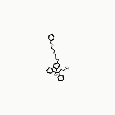 OCCC(c1ccccc1)C(O)(c1ccccc1)c1ccc(OCCOCCOCc2ccccc2)cc1